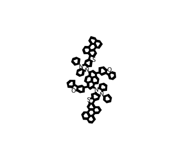 c1ccc(-n2c3ccccc3n(-c3cc(-c4ccc5oc6ccccc6c5c4)c4ccc5c(-n6c7ccccc7n(-c7ccccc7)c7cc8c(cc76)sc6cc7c9cccc%10cccc(c%11cccc(c68)c%117)c%109)cc(-c6ccc7oc8ccccc8c7c6)c6ccc3c4c65)c3cc4sc5cc6c7cccc8cccc(c9cccc(c5c4cc32)c96)c87)cc1